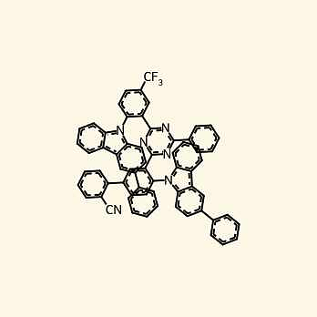 N#Cc1ccccc1-c1ccc(-n2c3ccccc3c3cc(-c4ccccc4)ccc32)c(-c2nc(-c3ccccc3)nc(-c3cc(C(F)(F)F)ccc3-n3c4ccccc4c4cc(-c5ccccc5)ccc43)n2)c1